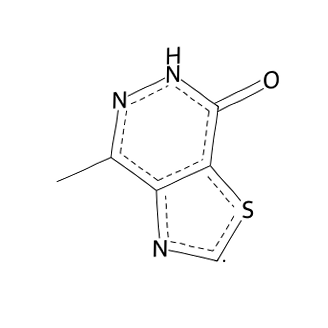 Cc1n[nH]c(=O)c2s[c]nc12